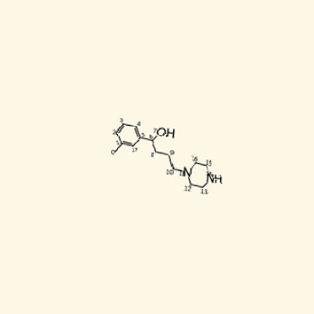 Cc1cccc(C(O)CCCN2CCNCC2)c1